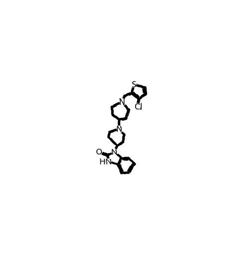 O=c1[nH]c2ccccc2n1C1CCN(C2CCN(Cc3sccc3Cl)CC2)CC1